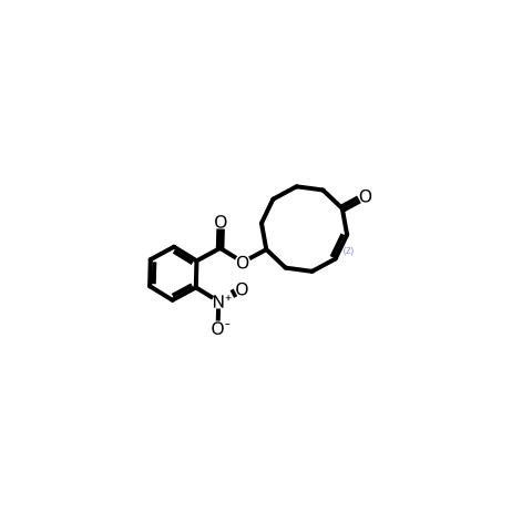 O=C1/C=C\CCC(OC(=O)c2ccccc2[N+](=O)[O-])CCCC1